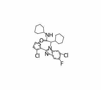 O=C(NC1CCCCC1)C(C1CCCCC1)n1c(-c2sccc2Cl)nc2cc(F)c(Cl)cc21